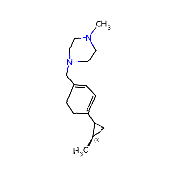 C[C@@H]1CC1C1=CC=C(CN2CCN(C)CC2)CC1